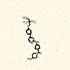 CC(C)(CO)CSc1ccc(-c2ccnc(Nc3ccc(C(=O)N4CCC(O)CC4)cc3)n2)cc1